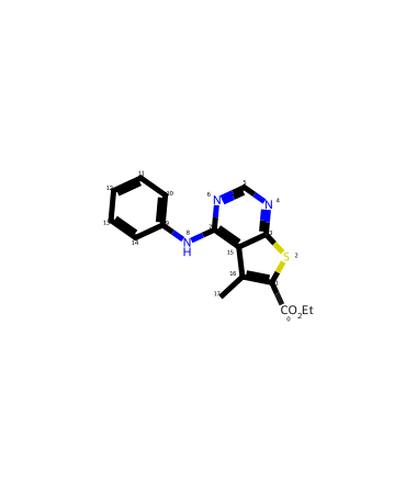 CCOC(=O)c1sc2ncnc(Nc3ccccc3)c2c1C